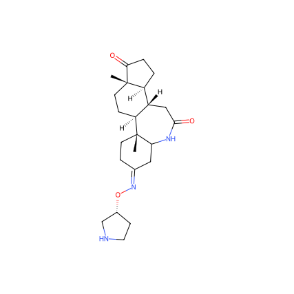 C[C@]12CC/C(=N\O[C@@H]3CCNC3)CC1NC(=O)C[C@@H]1[C@@H]2CC[C@]2(C)C(=O)CC[C@@H]12